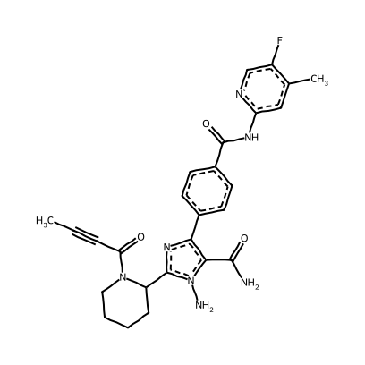 CC#CC(=O)N1CCCCC1c1nc(-c2ccc(C(=O)Nc3cc(C)c(F)cn3)cc2)c(C(N)=O)n1N